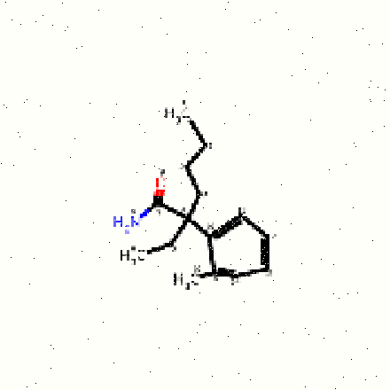 CCCCC(CC)(C(N)=O)c1ccccc1C